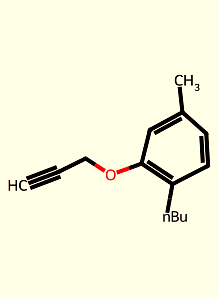 C#CCOc1cc(C)ccc1CCCC